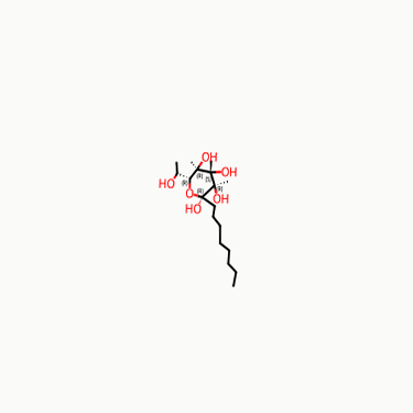 CCCCCCCC[C@@]1(O)O[C@H](C(C)O)[C@@](C)(O)[C@](C)(O)[C@@]1(C)O